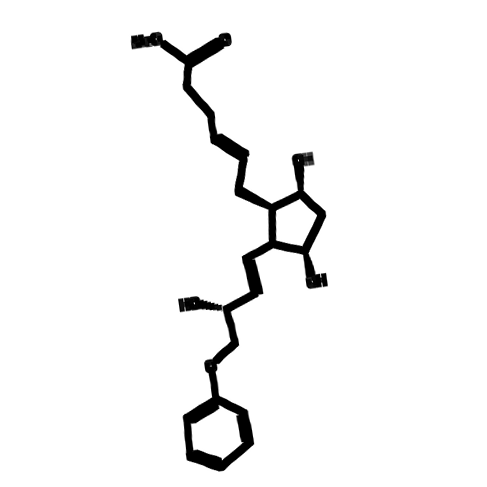 COC(=O)CC/C=C/C[C@@H]1C(/C=C/[C@@H](O)COc2ccccc2)[C@H](O)C[C@@H]1O